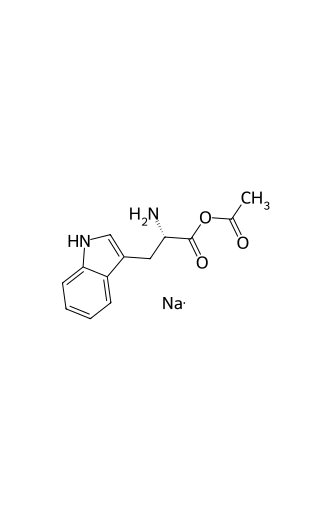 CC(=O)OC(=O)[C@@H](N)Cc1c[nH]c2ccccc12.[Na]